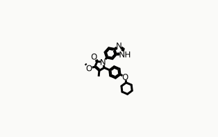 COC1=C(C)C(c2ccc(OC3CCCCC3)cc2)N(c2ccc3nc[nH]c3c2)C1=O